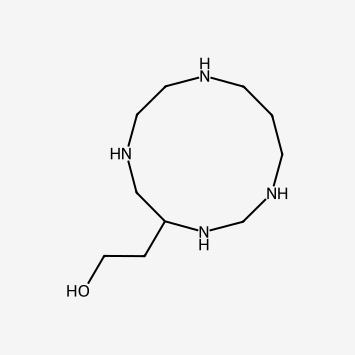 OCCC1CNCCNCCCNCN1